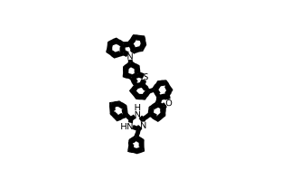 c1ccc(C2=NC(c3ccc4oc5cccc(-c6cccc7c6sc6cc(-n8c9ccccc9c9ccccc98)ccc67)c5c4c3)NC(c3ccccc3)N2)cc1